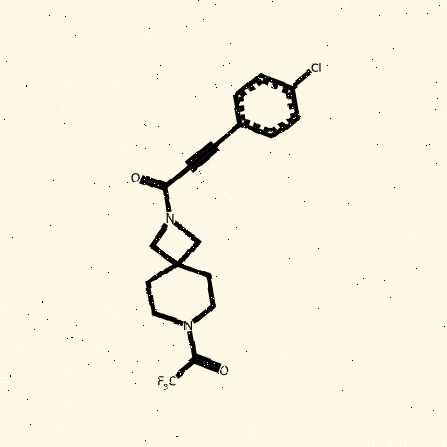 O=C(C#Cc1ccc(Cl)cc1)N1CC2(CCN(C(=O)C(F)(F)F)CC2)C1